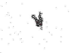 CCCCCCCN(Cc1ccc(OCCC(C)C)cc1)C(Nc1cccc(OCc2ccccc2)c1)=C1C(=O)OC(C)(C)OC1=O